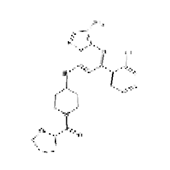 Bc1cnn2c(NC3CCN(C(=O)C4CCCO4)CC3)cc(-c3ccccc3O)nc12